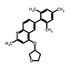 Cc1cc(C)c(-c2ccc3nc(C)cc(OC4CCOC4)c3c2)c(C)c1